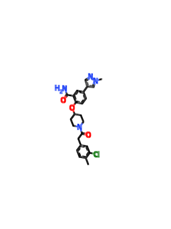 Cc1ccc(CC(=O)N2CCC(Oc3ccc(-c4cnn(C)c4)cc3C(N)=O)CC2)cc1Cl